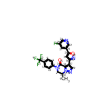 C[C@H]1CN(c2ccc(C(F)(F)F)cc2)C(=O)c2c(-c3cc(-c4cncc(F)c4)on3)cnn21